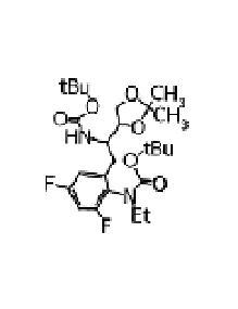 CCN(C(=O)OC(C)(C)C)c1c(F)cc(F)cc1CC(NC(=O)OC(C)(C)C)C1COC(C)(C)O1